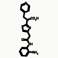 Nc1ccccc1NC(=O)Cc1csc(N(Cc2ccncc2)C(=O)O)n1